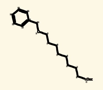 CCCCCCCCCCCCCCCCCCOCc1ccccc1